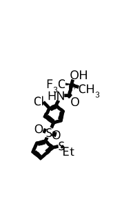 CCSc1ccccc1S(=O)(=O)c1ccc(NC(=O)[C@@](C)(O)C(F)(F)F)c(Cl)c1